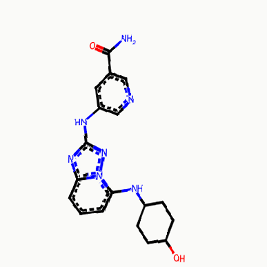 NC(=O)c1cncc(Nc2nc3cccc(NC4CCC(O)CC4)n3n2)c1